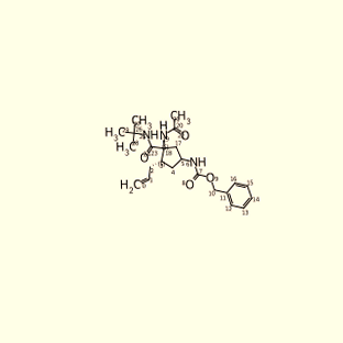 C=CC[C@H]1CC(NC(=O)OCc2ccccc2)C[C@@]1(NC(C)=O)C(=O)NC(C)(C)C